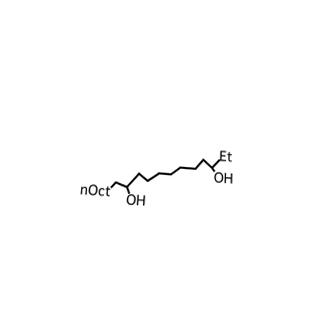 CCCCCCCCCC(O)CCCCCCCC(O)CC